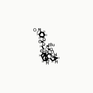 CC(C)(C)OC(=O)N[C@H](C(=O)N1[C@H](C#N)C[C@@H]2C[C@@H]21)C12CC3C[C@H](CC(OCCOC(=O)Oc4ccc([N+](=O)[O-])cc4)(C3)C1)C2